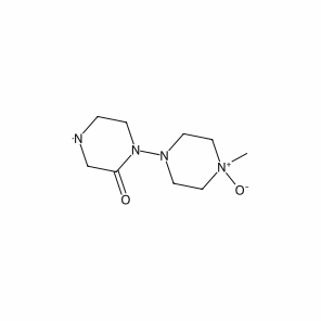 C[N+]1([O-])CCN(N2CC[N]CC2=O)CC1